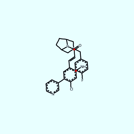 Nc1cc(Cl)c(-c2cccnc2)cc1/C=C/C(=O)N1C2CCC1CN(Cc1ccc(F)cc1)C2